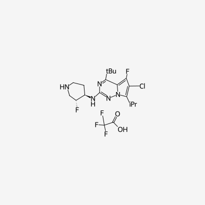 CC(C)c1c(Cl)c(F)c2c(C(C)(C)C)nc(N[C@@H]3CCNC[C@H]3F)nn12.O=C(O)C(F)(F)F